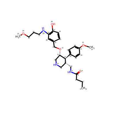 CCCC(=O)NC[C@@H]1CNC[C@H](OCc2ccc(O)c(NCCCOC)c2)[C@H]1c1ccc(OC)cc1